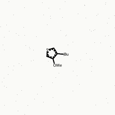 CCC(C)c1cscc1OC